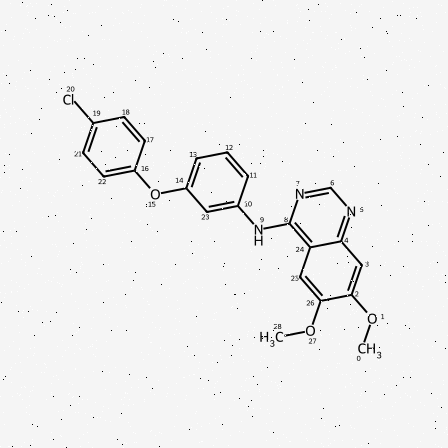 COc1cc2ncnc(Nc3cccc(Oc4ccc(Cl)cc4)c3)c2cc1OC